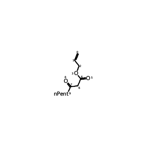 C=CCOC(=O)CC(=O)CCCCC